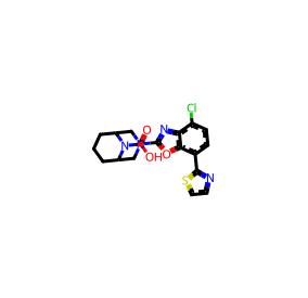 O=C(O)N1C2CCCC1CN(c1nc3c(Cl)ccc(-c4nccs4)c3o1)C2